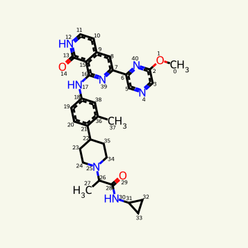 COc1cncc(-c2cc3cc[nH]c(=O)c3c(Nc3ccc(C4CCN(C(C)C(=O)NC5CC5)CC4)c(C)c3)n2)n1